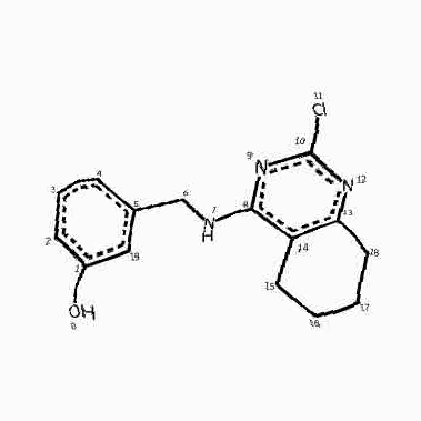 Oc1cccc(CNc2nc(Cl)nc3c2CCCC3)c1